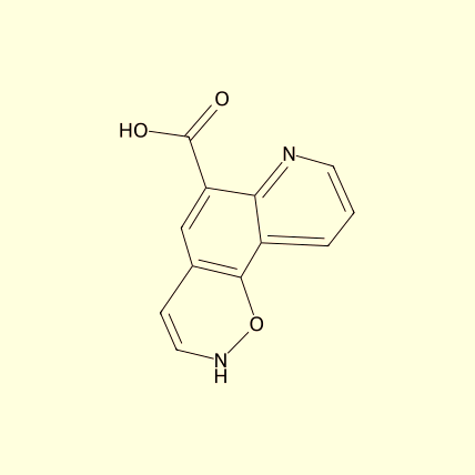 O=C(O)c1cc2c(c3cccnc13)ONC=C2